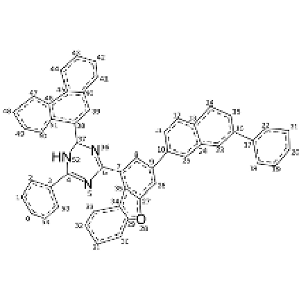 c1ccc(C2=NC(c3cc(-c4ccc5ccc(-c6ccccc6)cc5c4)cc4oc5ccccc5c34)=NC(c3cc4ccccc4c4ccccc34)N2)cc1